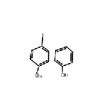 CC(C)(C)c1ccc(I)cc1.Oc1ccccc1